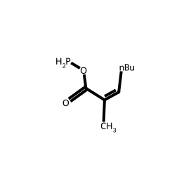 CCCCC=C(C)C(=O)OP